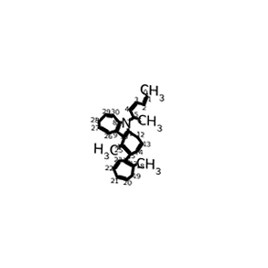 C/C=C\C=C/C(C)n1c2c(c3c1CC=CC(C1=C(C)CC=CC=C1)=C3C)C=CCC=C2